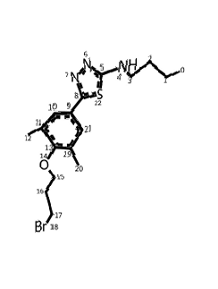 CCCCNc1nnc(-c2cc(C)c(OCCCBr)c(C)c2)s1